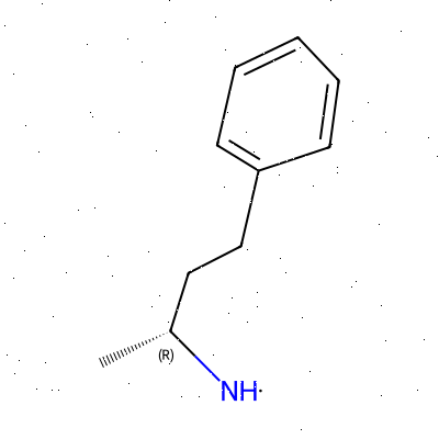 C[C@@H]([NH])CCc1ccccc1